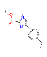 CCOC(=O)c1nc(-c2ccc(CC)cc2)cn1C